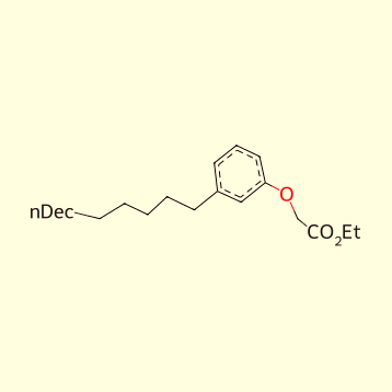 CCCCCCCCCCCCCCCc1cccc(OCC(=O)OCC)c1